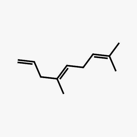 C=CCC(C)=CCC=C(C)C